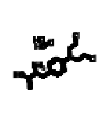 Cl.NC(Cc1ccc(N(CCCl)CCCl)cc1)C(=O)O.OCl